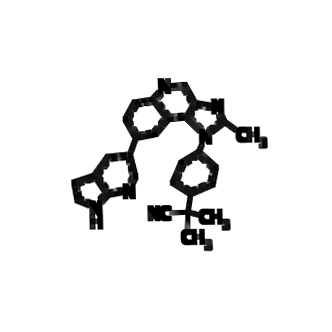 Cc1nc2cnc3ccc(-c4cnc5[nH]ccc5c4)cc3c2n1-c1ccc(C(C)(C)C#N)cc1